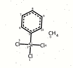 C.Cl[Si](Cl)(Cl)c1ccccc1